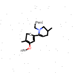 CCCOC1=C(C)CCC(C2=CCC(C)CN2CC(C)CCC)=C1